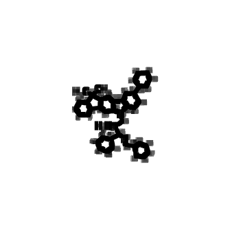 CC1(C)c2ccccc2-c2cc3c(cc21)c1cc(-c2ccccc2)ccc1n3CN(N)C(/N=C/c1ccccc1)c1ccccc1